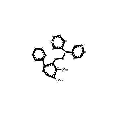 COc1ccc(-c2ccccc2)c(CCN(c2cccnc2)c2cccnc2)c1OC